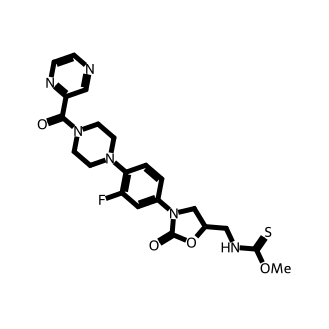 COC(=S)NCC1CN(c2ccc(N3CCN(C(=O)c4cnccn4)CC3)c(F)c2)C(=O)O1